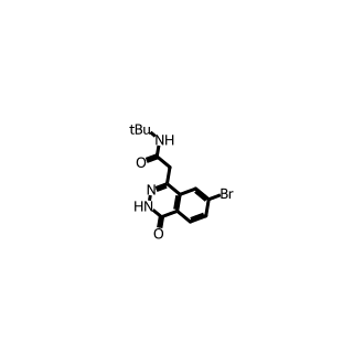 CC(C)(C)NC(=O)Cc1n[nH]c(=O)c2ccc(Br)cc12